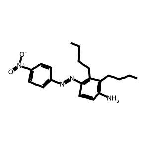 CCCCc1c(N)ccc(N=Nc2ccc([N+](=O)[O-])cc2)c1CCCC